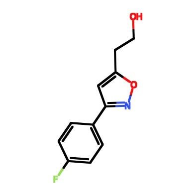 OCCc1cc(-c2ccc(F)cc2)no1